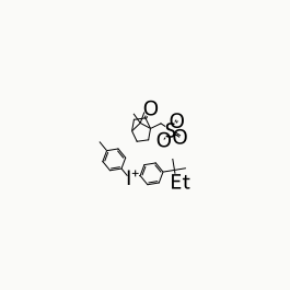 CC1(C)C2CCC1(CS(=O)(=O)[O-])C(=O)C2.CCC(C)(C)c1ccc([I+]c2ccc(C)cc2)cc1